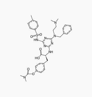 Cc1ccc(S(=O)(=O)Nc2nc(N[C@@H](Cc3ccc(OC(=O)N(C)C)cc3)C(=O)O)nc(N(CCN(C)C)Cc3ccccc3)n2)cc1